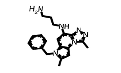 Cc1cc2c(cc(NCCCN)c3nnc(C)n32)n1Cc1ccccc1